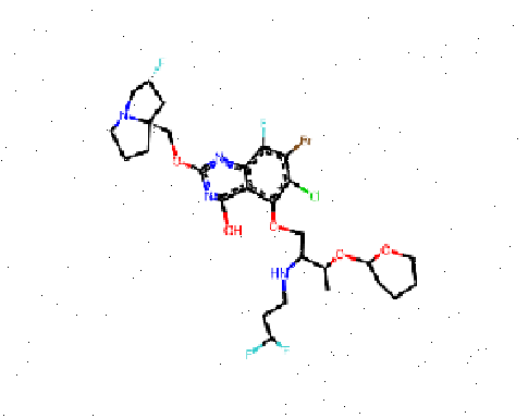 CC(OC1CCCCO1)C(COc1c(Cl)c(Br)c(F)c2nc(OC[C@@]34CCCN3C[C@H](F)C4)nc(O)c12)NCCC(F)F